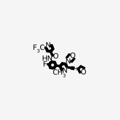 Cc1cc(F)c(NC(=O)c2ccnc(C(F)(F)F)c2)cc1-c1cnc(C#C[C@@H]2CCOC2)c(N2CCOCC2)c1